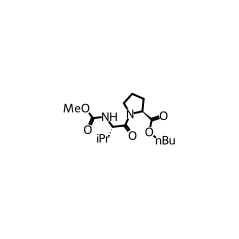 CCCCOC(=O)[C@@H]1CCCN1C(=O)[C@@H](NC(=O)OC)C(C)C